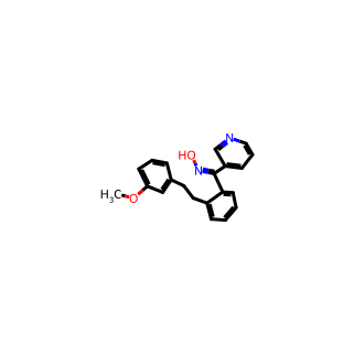 COc1cccc(CCc2ccccc2C(=NO)c2cccnc2)c1